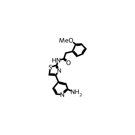 COc1ccccc1CC(=O)Nc1nc(-c2ccnc(N)c2)cs1